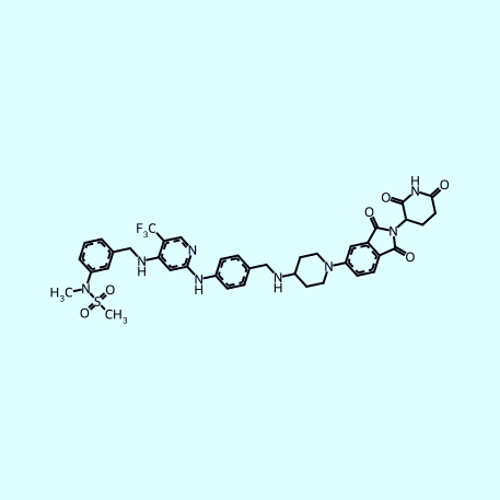 CN(c1cccc(CNc2cc(Nc3ccc(CNC4CCN(c5ccc6c(c5)C(=O)N(C5CCC(=O)NC5=O)C6=O)CC4)cc3)ncc2C(F)(F)F)c1)S(C)(=O)=O